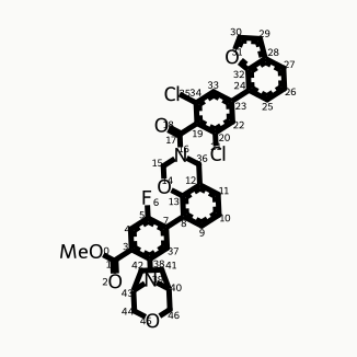 COC(=O)c1cc(F)c(-c2cccc3c2OCN(C(=O)c2c(Cl)cc(-c4cccc5ccoc45)cc2Cl)C3)cc1N1C2CCC1COC2